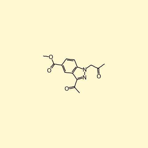 COC(=O)c1ccc2c(c1)c(C(C)=O)nn2CC(C)=O